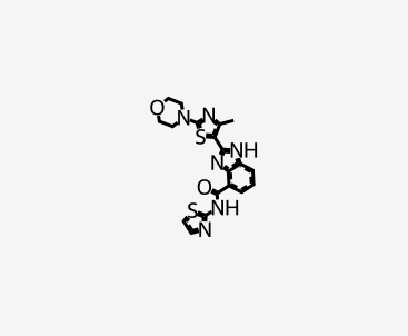 Cc1nc(N2CCOCC2)sc1-c1nc2c(C(=O)Nc3nccs3)cccc2[nH]1